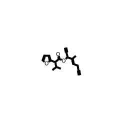 C#CCC=C(C)C(C#C)OC(=O)C(c1ccco1)C(C)C